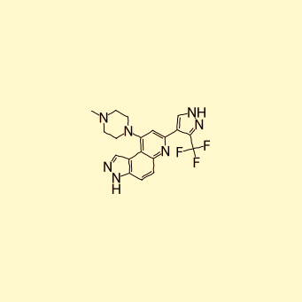 CN1CCN(c2cc(-c3c[nH]nc3C(F)(F)F)nc3ccc4[nH]ncc4c23)CC1